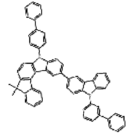 CC1(C)c2ccccc2-c2c1ccc1c2c2cc(-c3ccc4c(c3)c3ccccc3n4-c3cccc(-c4ccccc4)c3)ccc2n1-c1ccc(-c2ccccc2)cc1